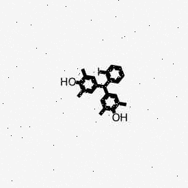 Cc1cc(C(c2cc(C)c(O)c(C)c2)c2ccccc2I)cc(C)c1O